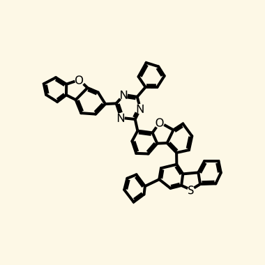 c1ccc(-c2cc(-c3cccc4oc5c(-c6nc(-c7ccccc7)nc(-c7ccc8c(c7)oc7ccccc78)n6)cccc5c34)c3c(c2)sc2ccccc23)cc1